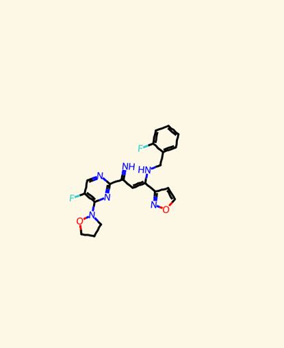 N=C(/C=C(\NCc1ccccc1F)c1ccon1)c1ncc(F)c(N2CCCO2)n1